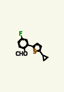 O=Cc1ccc(F)cc1-c1ccc(C2CC2)s1